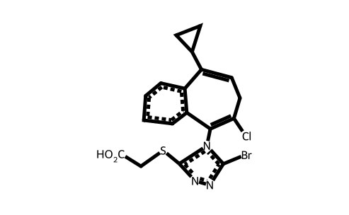 O=C(O)CSc1nnc(Br)n1C1=C(Cl)CC=C(C2CC2)c2ccccc21